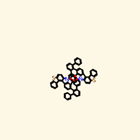 C1=CCC(c2cccc(-c3ccccc3)c2-c2ccc3c4c5c(ccc4n4c6cc7c8c(-c9c(-c%10ccccc%10)cccc9-c9ccccc9)ccc9c%10c%11c(ccc%10n(c7cc6c2c34)c98)sc2ccccc2%11)sc2ccccc25)C=C1